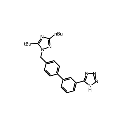 CCCCc1nc(C(C)(C)C)n(Cc2ccc(-c3cccc(-c4nnn[nH]4)c3)cc2)n1